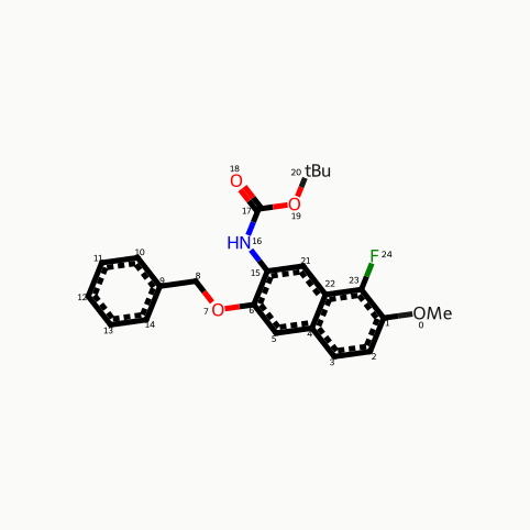 COc1ccc2cc(OCc3ccccc3)c(NC(=O)OC(C)(C)C)cc2c1F